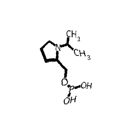 CC(C)N1CCCC1COP(O)O